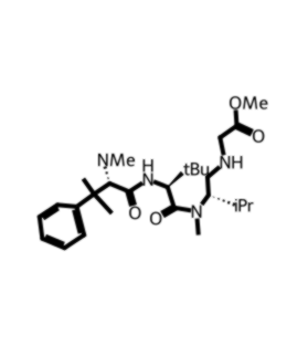 CN[C@H](C(=O)N[C@H](C(=O)N(C)[C@H](CNCC(=O)OC)C(C)C)C(C)(C)C)C(C)(C)c1ccccc1